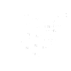 CCOc1nc(N)nc2c1ncn2C(CO)OC(F)(COP(=O)(NC(C)C(=O)OC1CCCCC1)Oc1ccccc1)[C@H](C)O